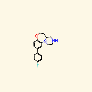 Fc1ccc(-c2ccc3c(c2)N2CCNCC2CCO3)cc1